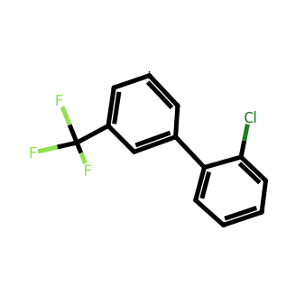 FC(F)(F)c1c[c]cc(-c2ccccc2Cl)c1